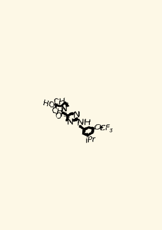 CC(C)c1cc(CNc2ncc(C(=O)N3CCC3C(C)(C)O)cn2)cc(OC(F)(F)F)c1